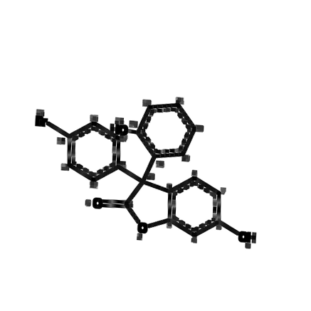 O=C1Oc2cc(O)ccc2C1(c1ccc(Br)cc1)c1ccccc1O